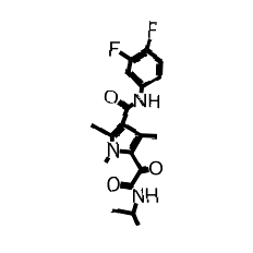 Cc1c(C(=O)Nc2ccc(F)c(F)c2)c(C)n(C)c1C(=O)C(=O)NC(C)C